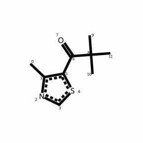 Cc1ncsc1C(=O)C(C)(C)C